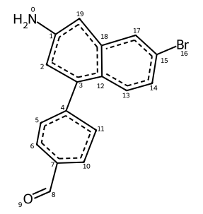 Nc1cc(-c2ccc(C=O)cc2)c2ccc(Br)cc2c1